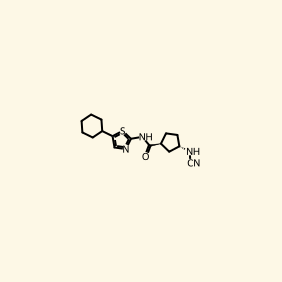 N#CN[C@H]1CC[C@H](C(=O)Nc2ncc(C3CCCCC3)s2)C1